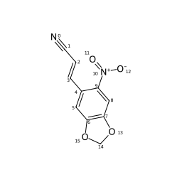 N#CC=Cc1cc2c(cc1[N+](=O)[O-])OCO2